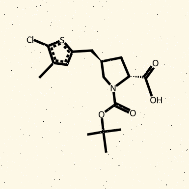 Cc1cc(C[C@H]2C[C@H](C(=O)O)N(C(=O)OC(C)(C)C)C2)sc1Cl